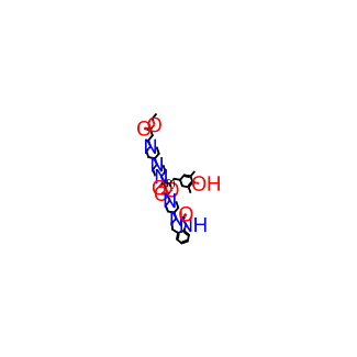 CCOC(=O)CCN1CCC(N2CCN(C(=O)[C@@H](CC3C=C(C)C(O)=C(C)C3)OC(=O)N3CCC(N4CCc5ccccc5NC4=O)CC3)CC2)CC1